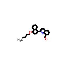 CCCCCOc1ccc(-c2ccc3cccc(C=O)c3n2)c2ccccc12